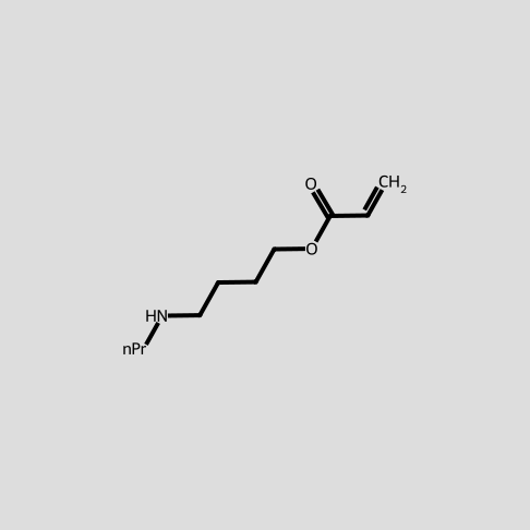 C=CC(=O)OCCCCNCCC